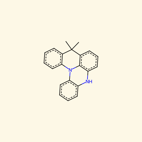 CC1(C)c2ccccc2N2c3ccccc3Nc3cccc1c32